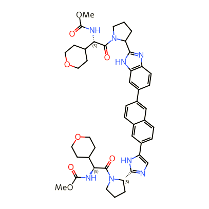 COC(=O)N[C@H](C(=O)N1CCCC1c1nc2ccc(-c3ccc4cc(-c5cnc([C@@H]6CCCN6C(=O)[C@@H](NC(=O)OC)C6CCOCC6)[nH]5)ccc4c3)cc2[nH]1)C1CCOCC1